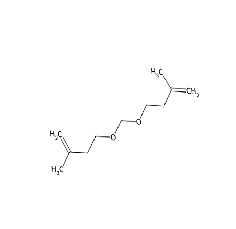 C=C(C)CCOCOCCC(=C)C